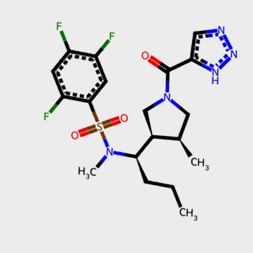 CCC[C@H]([C@H]1CN(C(=O)c2cnn[nH]2)C[C@H]1C)N(C)S(=O)(=O)c1cc(F)c(F)cc1F